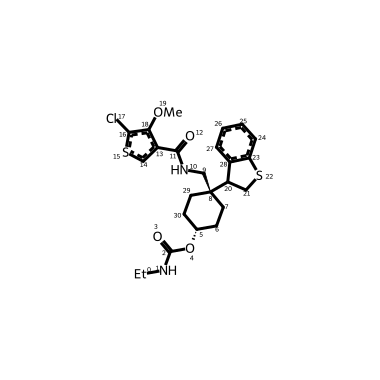 CCNC(=O)O[C@H]1CC[C@@](CNC(=O)c2csc(Cl)c2OC)(C2CSc3ccccc32)CC1